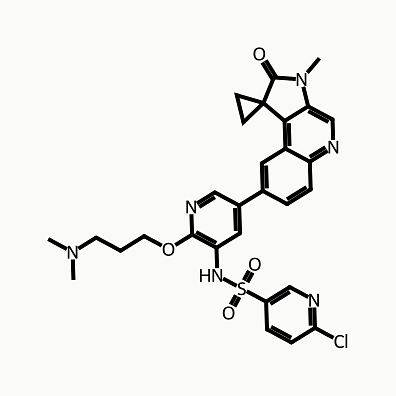 CN(C)CCCOc1ncc(-c2ccc3ncc4c(c3c2)C2(CC2)C(=O)N4C)cc1NS(=O)(=O)c1ccc(Cl)nc1